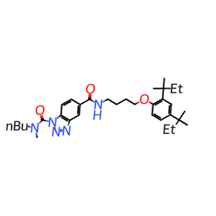 CCCCN(C)C(=O)n1nnc2cc(C(=O)NCCCCOc3ccc(C(C)(C)CC)cc3C(C)(C)CC)ccc21